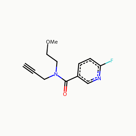 C#CCN(CCOC)C(=O)c1ccc(F)nc1